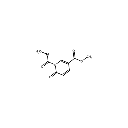 CNC(=O)n1cc(C(=O)OC)ccc1=O